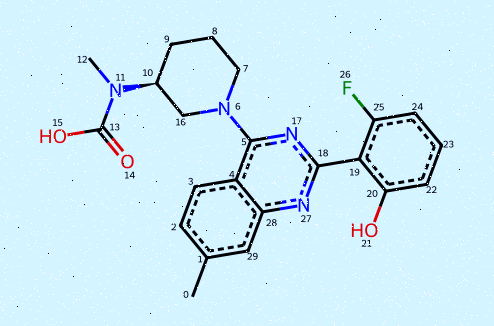 Cc1ccc2c(N3CCC[C@H](N(C)C(=O)O)C3)nc(-c3c(O)cccc3F)nc2c1